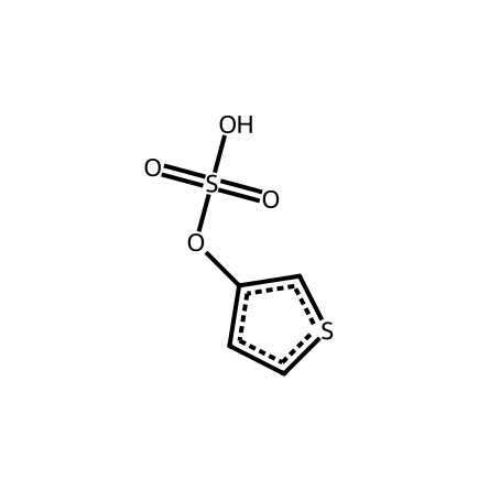 O=S(=O)(O)Oc1ccsc1